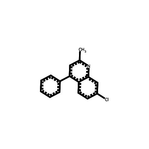 Cc1cc(-c2ccccc2)c2ccc(Cl)cc2n1